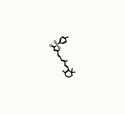 CC1=C(/C=C/C(C)=C/C=C/C(C)=C/C(=O)S(=O)(=O)c2ccc(C)cc2)C(C)(C)CCC1